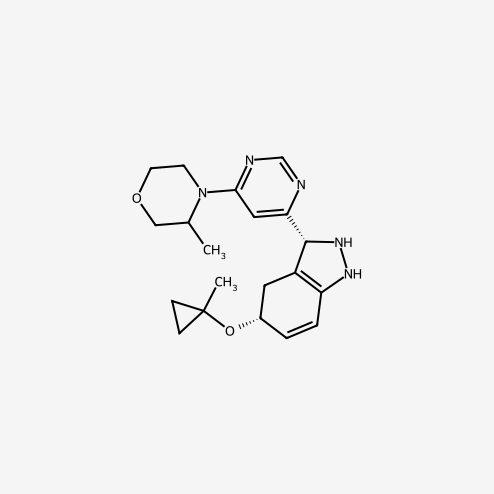 CC1COCCN1c1cc([C@@H]2NNC3=C2C[C@@H](OC2(C)CC2)C=C3)ncn1